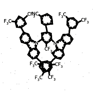 N#Cc1cccc(-c2cc(-n3c4cc(-c5cc(C(F)(F)F)cc(C(F)(F)F)c5)ccc4c4ccc(-c5cc(C(F)(F)F)cc(C(F)(F)F)c5)cc43)c(C(F)(F)F)c(-n3c4cc(-c5cc(C(F)(F)F)cc(C(F)(F)F)c5)ccc4c4ccc(-c5cc(C(F)(F)F)cc(C(F)(F)F)c5)cc43)c2)c1